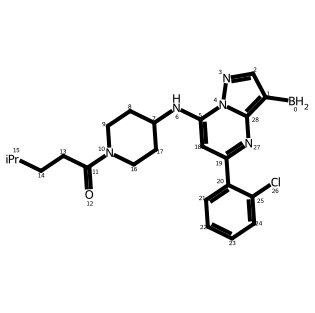 Bc1cnn2c(NC3CCN(C(=O)CCC(C)C)CC3)cc(-c3ccccc3Cl)nc12